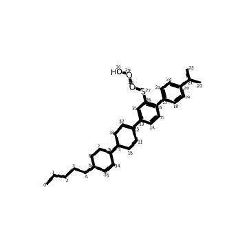 CCCCCC1CCC(C2CCC(c3ccc(-c4ccc(C(C)C)cc4)c(SOOO)c3)CC2)CC1